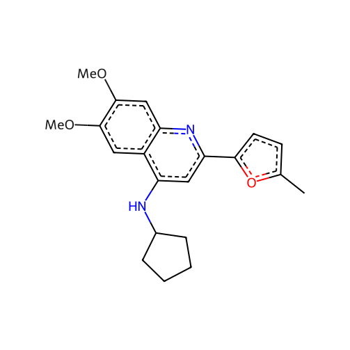 COc1cc2nc(-c3ccc(C)o3)cc(NC3CCCC3)c2cc1OC